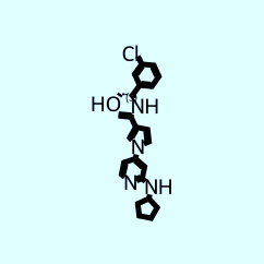 C=C(N[C@H](CO)c1cccc(Cl)c1)c1ccn(-c2ccnc(NC3CCCC3)c2)c1